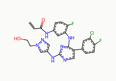 C=CC(=O)Nc1ccc(F)c(Nc2nc(Nc3cnn(CCO)c3)ncc2-c2ccc(F)c(Cl)c2)c1